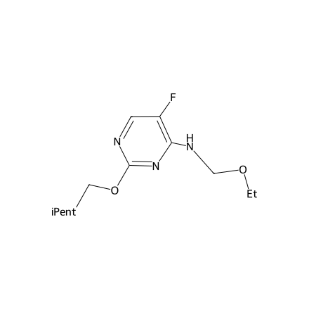 CCCC(C)COc1ncc(F)c(NCOCC)n1